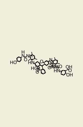 Cc1cc(C)c(NC(=O)Nc2ccc(O)c(C(=O)O)c2)c(C)c1/N=c1/cc2oc3cc(Nc4c(C)cc(C)c(NC(=O)Nc5ccc(O)cc5)c4C)ccc3c(-c3ccccc3S(=O)(=O)O)c-2cc1S(=O)(=O)O